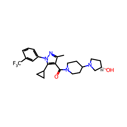 Cc1nn(-c2cccc(C(F)(F)F)c2)c(C2CC2)c1C(=O)N1CCC(N2CC[C@H](O)C2)CC1